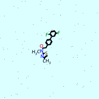 Cc1csc(N(C)C(=O)Cc2ccc(-c3cc(F)ccc3F)cc2)n1